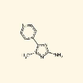 Cn1nc(N)nc1-c1ccncc1